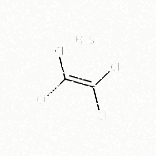 ClC(Cl)=C(Cl)Cl.S